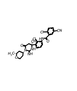 C[C@@H]1C[C@H](N2C(=N)N[C@](C)(c3cccc(NC(=O)c4cc(C#N)ccc4Cl)c3Cl)CC2=O)CCO1